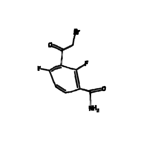 NC(=O)c1ccc(F)c(C(=O)CBr)c1F